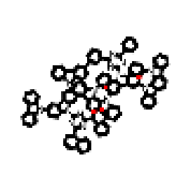 c1ccc(-c2nc(-c3cccc(-c4ccc5c(c4)c4ccccc4n5-c4ccc5c(c4)c4cc(-n6c7ccccc7c7ccccc76)ccc4n5-c4nc(-c5cccc6ccccc56)nc(-c5cccc6ccccc56)n4)c3)nc(-n3c4ccc(-n5c6ccccc6c6ccc7c8ccccc8n(-c8ccccc8)c7c65)cc4c4cc(-n5c6ccccc6c6ccc7c8ccccc8n(-c8ccccc8)c7c65)ccc43)n2)cc1